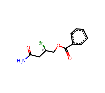 NC(=O)C[C@@H](Br)COC(=O)c1ccccc1